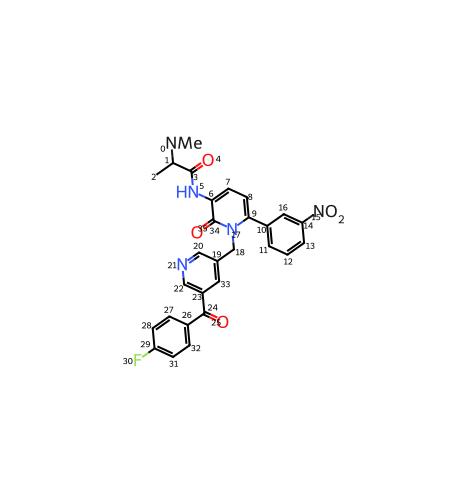 CNC(C)C(=O)Nc1ccc(-c2cccc([N+](=O)[O-])c2)n(Cc2cncc(C(=O)c3ccc(F)cc3)c2)c1=O